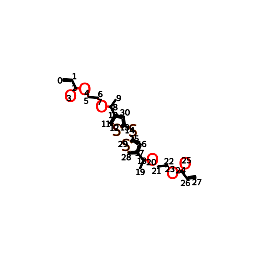 C=CC(=O)OCCOC(C)c1csc(Sc2cc(C(C)OCCOC(=O)C=C)cs2)c1